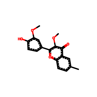 COc1cc(-c2oc3ccc(C)cc3c(=O)c2OC)ccc1O